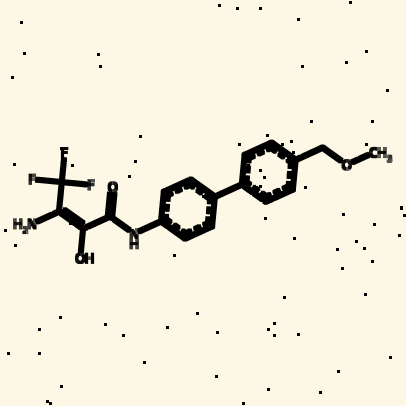 COCc1ccc(-c2ccc(NC(=O)/C(O)=C(/N)C(F)(F)F)cc2)cc1